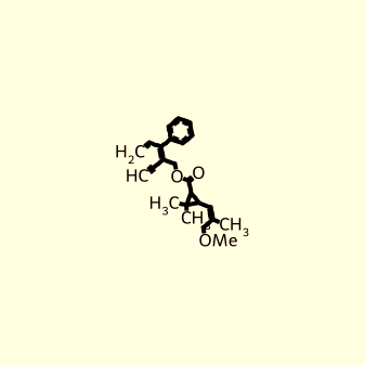 C#CC(COC(=O)C1C(C=C(C)COC)C1(C)C)=C(C=C)c1ccccc1